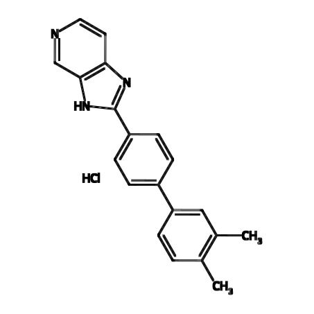 Cc1ccc(-c2ccc(-c3nc4ccncc4[nH]3)cc2)cc1C.Cl